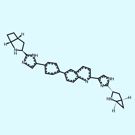 c1cc(-c2cnc([C@@H]3C[C@H]4CC[C@H]4N3)[nH]2)ccc1-c1ccc2nc(-c3c[nH]c([C@@H]4C[C@H]5C[C@H]5N4)n3)ccc2c1